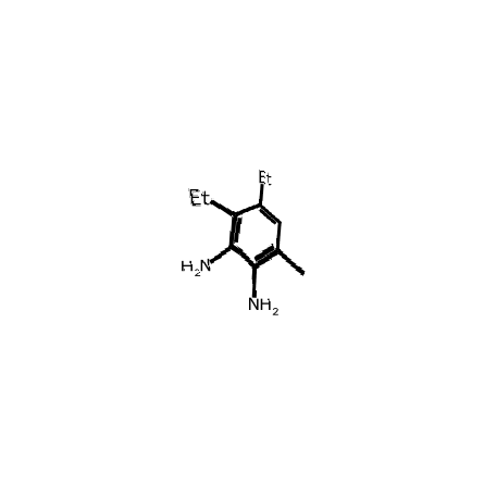 CCc1cc(C)c(N)c(N)c1CC